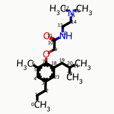 CCCc1cc(C)c(OCC(=O)NCCN(C)C)c(CC(C)C)c1